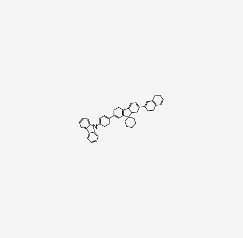 C1=CC2=C(C=C(C3=CC=C4C5=C(C=C(C6=CC=C(n7c8ccccc8c8ccccc87)CC6)CC5)C5(CCCCC5)C4C3)CC2)CC1